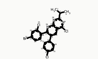 CC(C)c1nc(Cl)c2cc(-c3ccc(Cl)cc3)c(-c3ccc(Br)cc3Cl)nc2n1